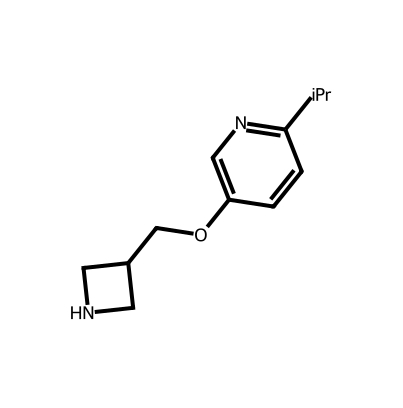 CC(C)c1ccc(OCC2CNC2)cn1